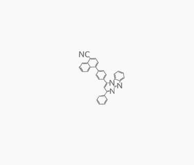 N#Cc1ccc(-c2ccc(-c3cc(-c4ccccc4)nc4nc5ccccc5n34)cc2)c2ccccc12